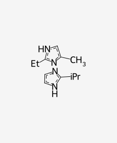 CC(C)c1ncc[nH]1.CCc1nc(C)c[nH]1